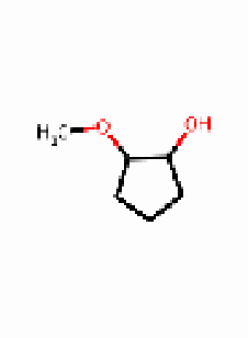 COC1CCCC1O